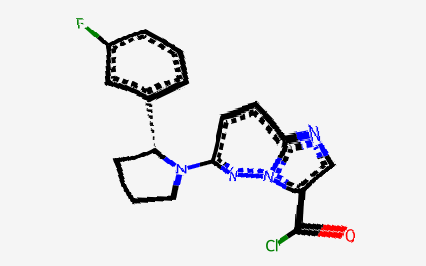 O=C(Cl)c1cnc2ccc(N3CCC[C@@H]3c3cccc(F)c3)nn12